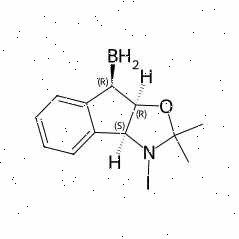 B[C@@H]1c2ccccc2[C@H]2[C@@H]1OC(C)(C)N2I